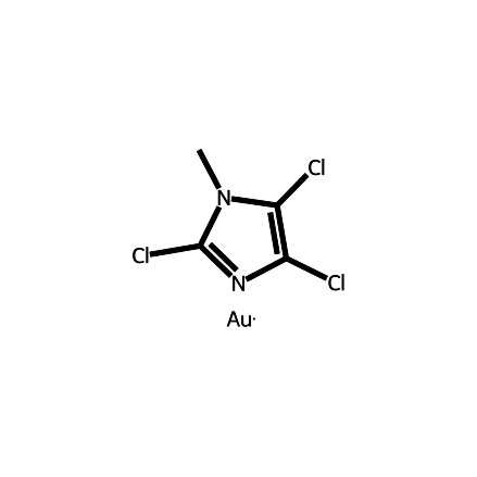 Cn1c(Cl)nc(Cl)c1Cl.[Au]